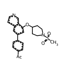 CC(=O)c1ccc(-c2cc(OC3CCN(S(C)(=O)=O)CC3)c3cnccc3c2)cc1